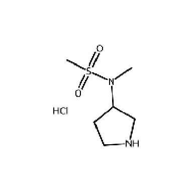 CN(C1CCNC1)S(C)(=O)=O.Cl